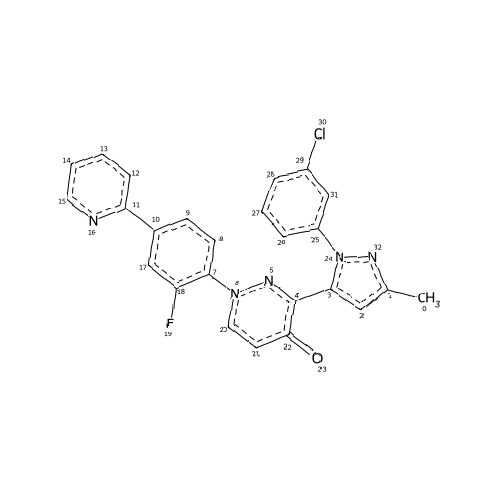 Cc1cc(-c2nn(-c3ccc(-c4ccccn4)cc3F)ccc2=O)n(-c2cccc(Cl)c2)n1